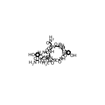 CCC(C)C1NC(=O)[C@H](Cc2ccc(O)cc2)NC(=O)CNC(=O)CC[C@@H](C(=O)N(C)CC(=O)N[C@@H](Cc2ccc(O)cc2)C(=O)NCC(N)=O)NC(=O)[C@H](CC(N)=O)NC(=O)[C@H](CCC(N)=O)NC1=O